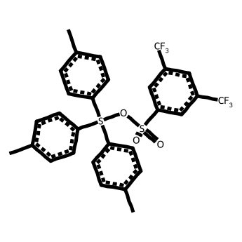 Cc1ccc(S(OS(=O)(=O)c2cc(C(F)(F)F)cc(C(F)(F)F)c2)(c2ccc(C)cc2)c2ccc(C)cc2)cc1